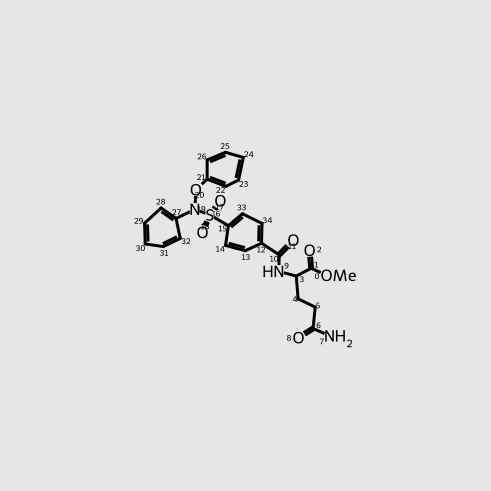 COC(=O)C(CCC(N)=O)NC(=O)c1ccc(S(=O)(=O)N(Oc2ccccc2)c2ccccc2)cc1